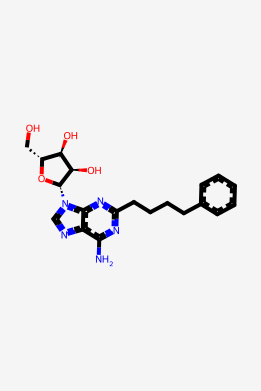 Nc1nc(CCCCc2ccccc2)nc2c1ncn2[C@@H]1O[C@H](CO)[C@@H](O)[C@H]1O